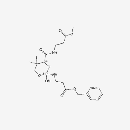 COC(=O)CCNC(=O)[C@@H]1O[PH](O)(NCCC(=O)OCc2ccccc2)OCC1(C)C